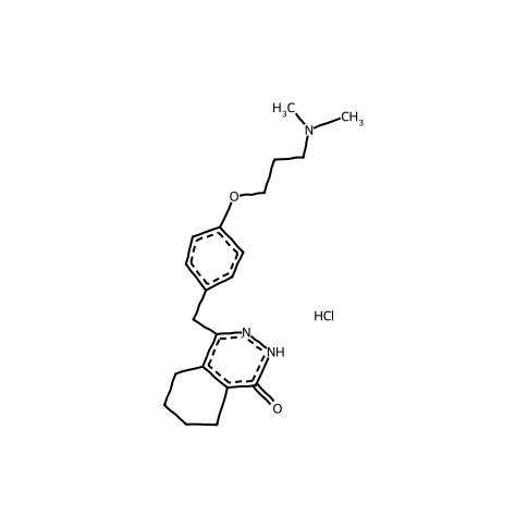 CN(C)CCCOc1ccc(Cc2n[nH]c(=O)c3c2CCCC3)cc1.Cl